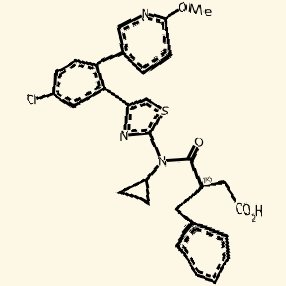 COc1ccc(-c2ccc(Cl)cc2-c2csc(N(C(=O)[C@@H](CC(=O)O)Cc3ccccc3)C3CC3)n2)cn1